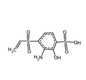 C=CS(=O)(=O)c1ccc(S(=O)(=O)O)c(O)c1N